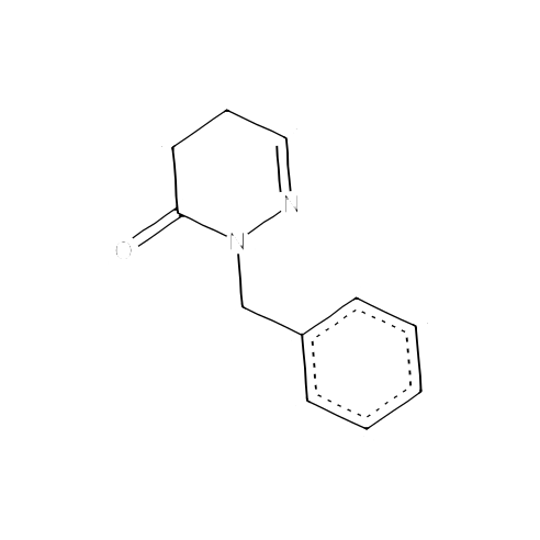 O=C1CC[C]=NN1Cc1ccccc1